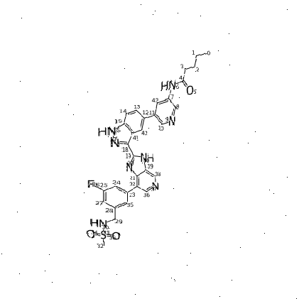 CCCCC(=O)Nc1cncc(-c2ccc3[nH]nc(-c4nc5c(-c6cc(F)cc(CNS(C)(=O)=O)c6)cncc5[nH]4)c3c2)c1